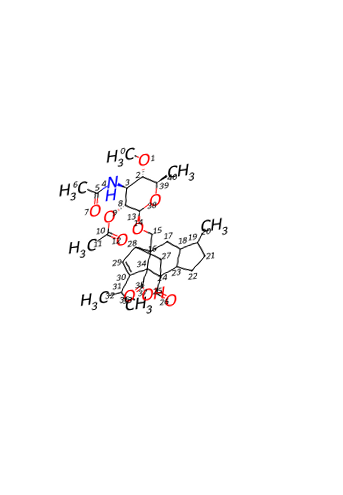 CO[C@H]1[C@H](NC(C)=O)[C@@H](OC(C)=O)[C@H](OCC23CC4C(C)CCC4C4(C=O)CC2C=C(C(C)C)C43C(=O)O)O[C@@H]1C